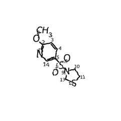 COc1ccc(S(=O)(=O)N2CCSC2)cn1